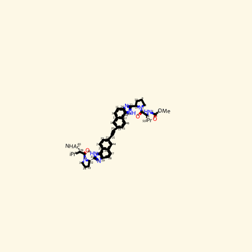 COC(=O)N[C@H](C(=O)N1CCCC1c1nc2ccc3cc(C#Cc4ccc5c(ccc6nc([C@@H]7CCCN7C(=O)[C@@H](NC(C)=O)C(C)C)[nH]c65)c4)ccc3c2[nH]1)C(C)C